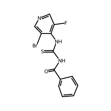 O=C(NC(=S)Nc1c(F)cncc1Br)c1ccccc1